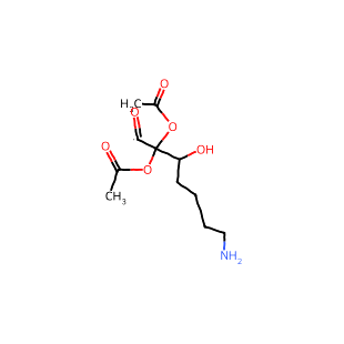 CC(=O)OC([C]=O)(OC(C)=O)C(O)CCCCN